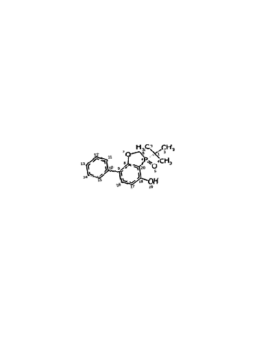 CC(C)(C)[P@@]1(=O)COc2c(-c3ccccc3)ccc(O)c21